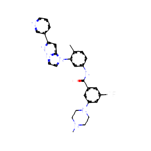 Cc1ccc(NC(=O)c2cc(N3CCN(C)CC3)cc(C(F)(F)F)c2)cc1-n1ccn2nc(-c3cccnc3)cc12